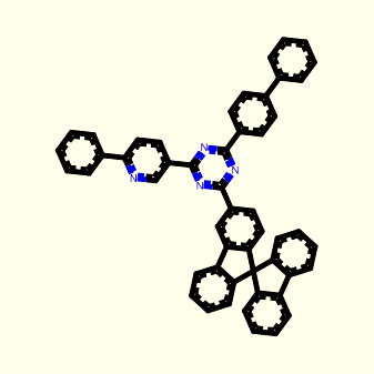 c1ccc(-c2ccc(-c3nc(-c4ccc(-c5ccccc5)nc4)nc(-c4ccc5c(c4)-c4ccccc4C54c5ccccc5-c5ccccc54)n3)cc2)cc1